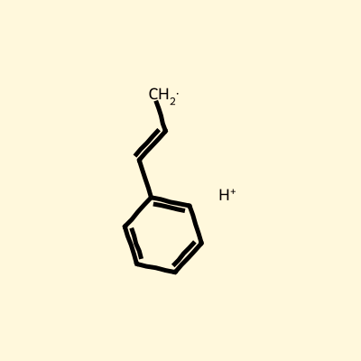 [CH2]/C=C/c1ccccc1.[H+]